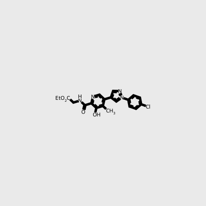 CCOC(=O)CNC(=O)c1ncc(-c2cnn(-c3ccc(Cl)cc3)c2)c(C)c1O